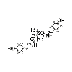 CC(C)(C)OC(=O)N(CC(=O)NCCc1ccc(O)cc1)CC(=O)NCCc1ccc(O)cc1